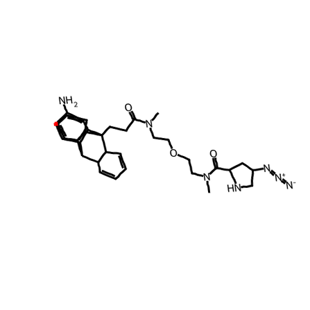 CN(CCOCCN(C)C(=O)C1CC(N=[N+]=[N-])CN1)C(=O)CCC12c3cc(N)ccc3C(C3C=CC=CC31)C1C=CC=CC12